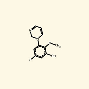 COc1c(O)cc(F)cc1N1C=CC=NC1